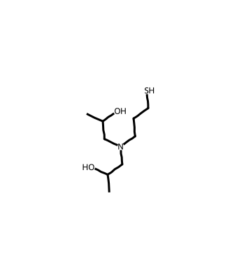 CC(O)CN(CCCS)CC(C)O